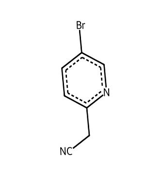 N#CCc1ccc(Br)cn1